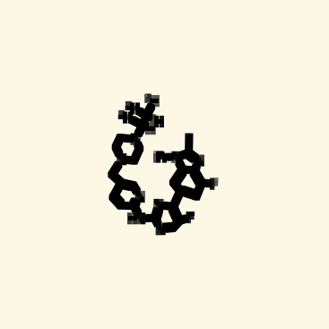 [2H]C([2H])([2H])C([2H])([2H])N1CCN(Cc2ccc(Nc3ncc(F)c(-c4cc(F)c5nc(C)n(C(C)C)c5c4)n3)nc2)CC1